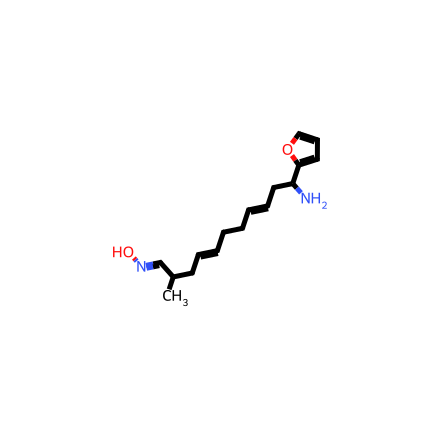 CC(C=NO)CC=CCCC=CCC(N)c1ccco1